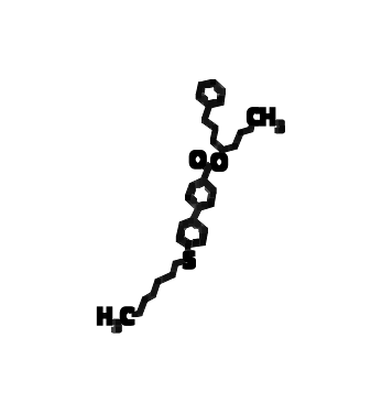 CCCCCCCSc1ccc(-c2ccc(C(=O)OC(CCCC)CCCc3ccccc3)cc2)cc1